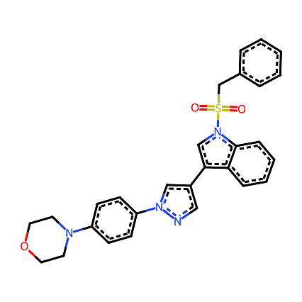 O=S(=O)(Cc1ccccc1)n1cc(-c2cnn(-c3ccc(N4CCOCC4)cc3)c2)c2ccccc21